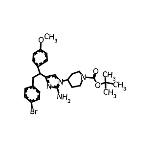 COc1ccc(C(Cc2ccc(Br)cc2)c2cn(C3CCN(C(=O)OC(C)(C)C)CC3)c(N)n2)cc1